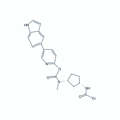 CCC(=O)N[C@H]1CC[C@@H](N(C)C(=O)Oc2ccc(-c3ccc4[nH]ccc4c3)cn2)C1